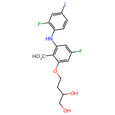 O=C(O)c1c(Nc2ccc(I)cc2F)cc(F)cc1OCCC(O)CO